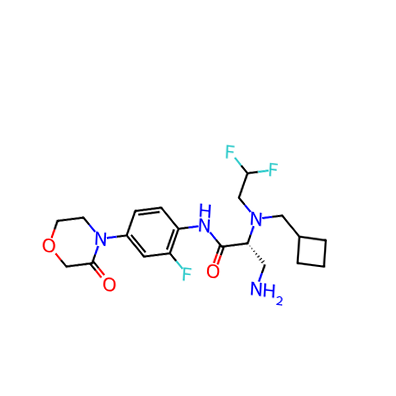 NC[C@H](C(=O)Nc1ccc(N2CCOCC2=O)cc1F)N(CC(F)F)CC1CCC1